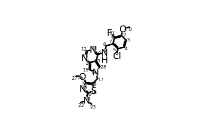 COc1ccc(Cl)c(CNc2ncnc3cn(Cc4sc(N(C)C)nc4OC)cc23)c1F